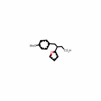 COc1ccc(CC(CC(=O)O)c2ccco2)cc1